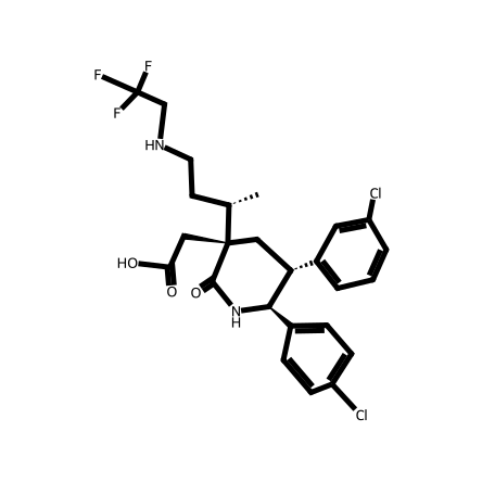 C[C@@H](CCNCC(F)(F)F)[C@]1(CC(=O)O)C[C@H](c2cccc(Cl)c2)[C@@H](c2ccc(Cl)cc2)NC1=O